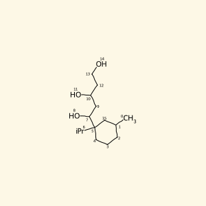 CC1CCCC(C(C)C)(C(O)CC(O)CCO)C1